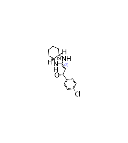 O=C(/C=C1/N[C@H]2CCCC[C@H]2N1)c1ccc(Cl)cc1